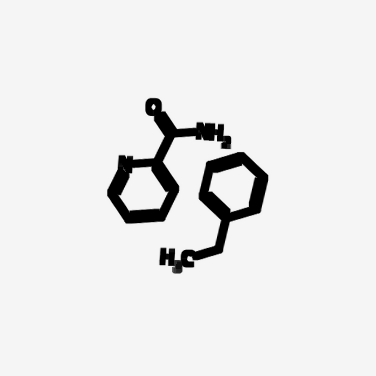 CCc1ccccc1.NC(=O)c1ccccn1